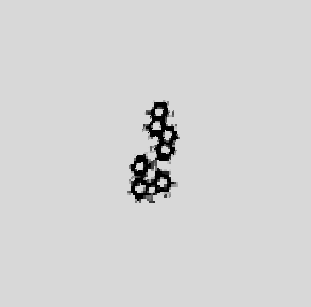 c1ccc(N(c2ccc3ccc4c5ccccc5ccc4c3c2)c2cccc3oc4ccccc4c23)cc1